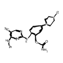 CCN1CCN(c2ccc(Nc3ncc(C#N)c(NC(C)C)n3)c(OC(N)=O)c2)CC1